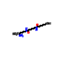 CCCCCCCCCCCCCCCC(=O)NCCCCCC(=O)NCCCC[C@H](N)C(=O)O